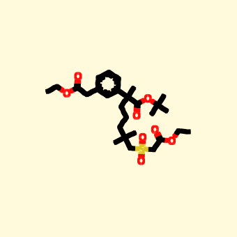 CCOC(=O)Cc1cccc(C(C)(CCCC(C)(C)CS(=O)(=O)CC(=O)OCC)C(=O)OC(C)(C)C)c1